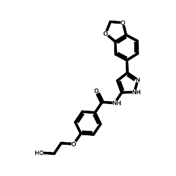 O=C(Nc1cc(-c2ccc3c(c2)OCO3)n[nH]1)c1ccc(OCCO)cc1